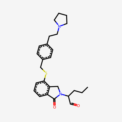 CCCC(C=O)N1Cc2c(SCc3ccc(CCN4CCCC4)cc3)cccc2C1=O